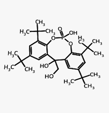 CC(C)(C)c1cc(C(C)(C)C)c2c(c1)C(O)(CO)c1cc(C(C)(C)C)cc(C(C)(C)C)c1OP(=O)(O)O2